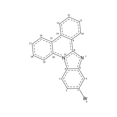 Brc1ccc2c(c1)nc1c3ccccc3c3ccccc3n21